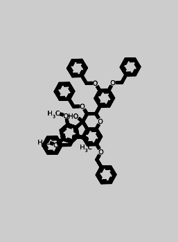 COc1cc(OC)c(C2(O)c3c(OCc4ccccc4)cc(OCc4ccccc4)cc3OC(c3ccc(OCc4ccccc4)c(OCc4ccccc4)c3)C2OCc2ccccc2)c(OC)c1